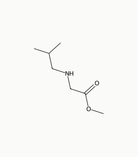 COC(=O)CNCC(C)C